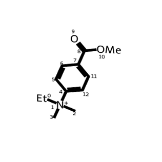 CC[N+](C)(C)c1ccc(C(=O)OC)cc1